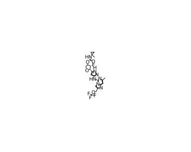 Cc1cc2nc(COC(F)(F)F)cn2c(Nc2cc([C@H]3OC[C@@H](OC(=O)NC4(C)CC4)[C@@H]3F)[nH]n2)n1